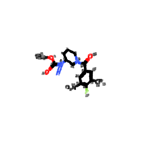 CC(C)(C)OC(=O)NC1CCCN(C(=O)c2cc([N+](=O)[O-])c(F)c(C(F)(F)F)c2)C1